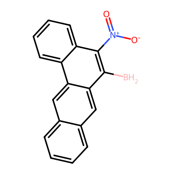 Bc1c([N+](=O)[O-])c2ccccc2c2cc3ccccc3cc12